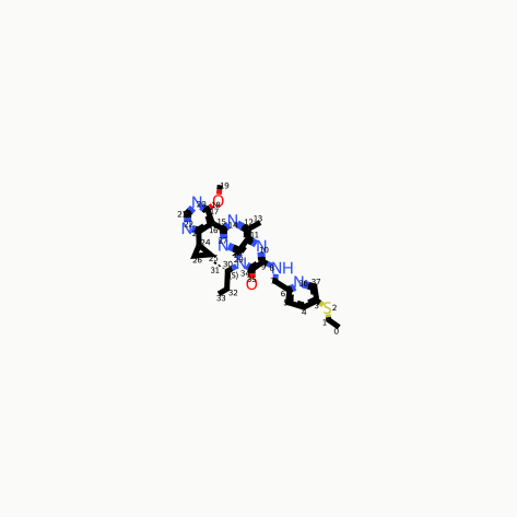 CCSc1ccc(CNc2nc3c(C)nc(-c4c(OC)ncnc4C4CC4)nc3n([C@@H](C)CC)c2=O)nc1